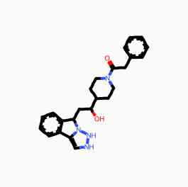 O=C(Cc1ccccc1)N1CCC(C(O)CC2c3ccccc3C3=CNNN32)CC1